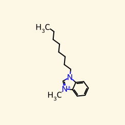 CCCCCCCCn1c[n+](C)c2ccccc21